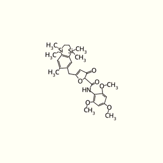 COc1cc(OC)c(NC(=O)C2OC(Cc3cc4c(cc3C)[Si](C)(C)CC[Si]4(C)C)=CC2=O)c(OC)c1